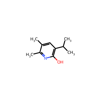 Cc1cc(C(C)C)c(O)nc1C